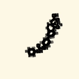 CC1(CC(=O)O)CCc2cc(-c3ccc(NC(=O)Nc4ccccc4)cc3)ccc2C1=O